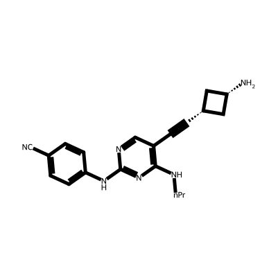 CCCNc1nc(Nc2ccc(C#N)cc2)ncc1C#C[C@H]1C[C@@H](N)C1